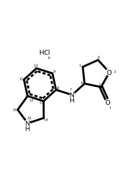 Cl.O=C1OCCC1Nc1cccc2c1CNC2